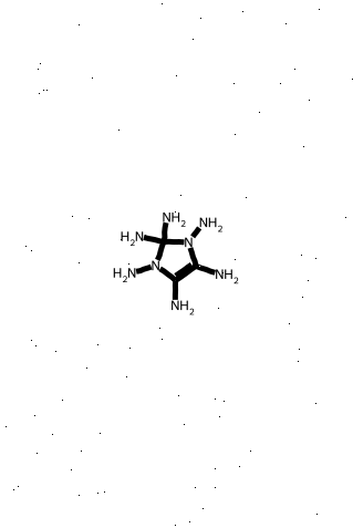 NC1=C(N)N(N)C(N)(N)N1N